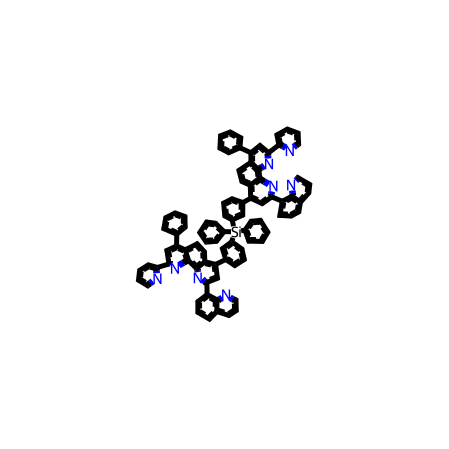 c1ccc(-c2cc(-c3ccccn3)nc3c2ccc2c(-c4cccc([Si](c5ccccc5)(c5ccccc5)c5cccc(-c6cc(-c7cccc8cccnc78)nc7c6ccc6c(-c8ccccc8)cc(-c8ccccn8)nc67)c5)c4)cc(-c4cccc5cccnc45)nc23)cc1